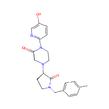 Cc1ccc(CN2CCC(N3CCN(c4ccc(O)cn4)C(=O)C3)C2=O)cc1